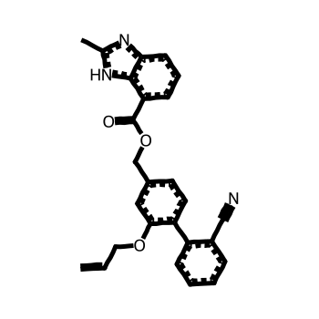 C=CCOc1cc(COC(=O)c2cccc3nc(C)[nH]c23)ccc1-c1ccccc1C#N